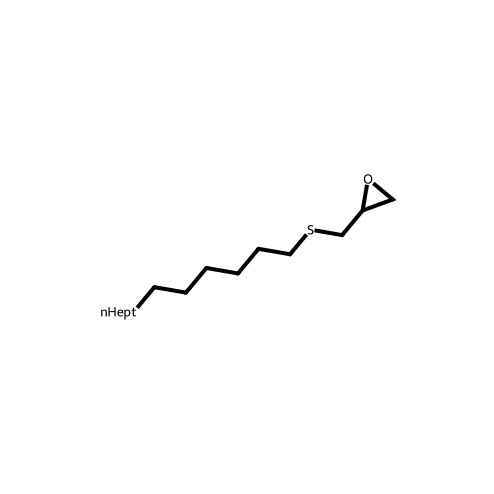 CCCCCCCCCCCCCSCC1CO1